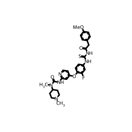 COc1ccc(CC(=O)NC(=S)Nc2ccc(Oc3ccnc(NC(=O)N(C)C4CCN(C)CC4)c3)c(F)c2)cc1